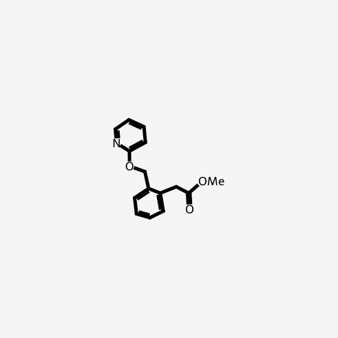 COC(=O)Cc1ccccc1COc1ccccn1